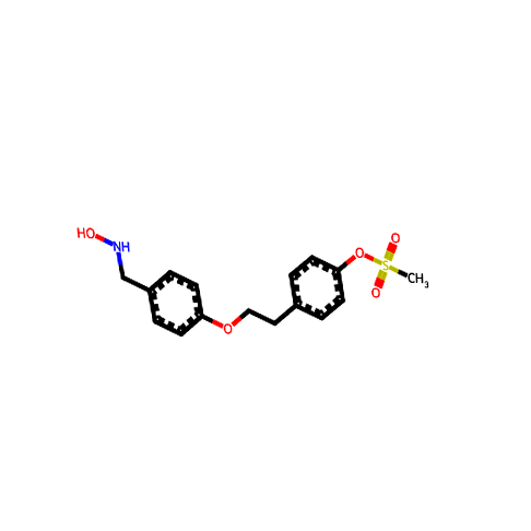 CS(=O)(=O)Oc1ccc(CCOc2ccc(CNO)cc2)cc1